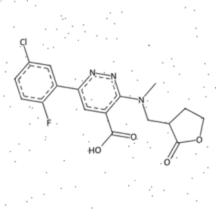 CN(CC1CCOC1=O)c1nnc(-c2cc(Cl)ccc2F)cc1C(=O)O